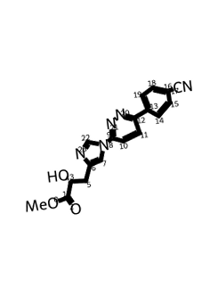 COC(=O)C(O)Cc1cn(-c2ccc(-c3ccc(C#N)cc3)nn2)cn1